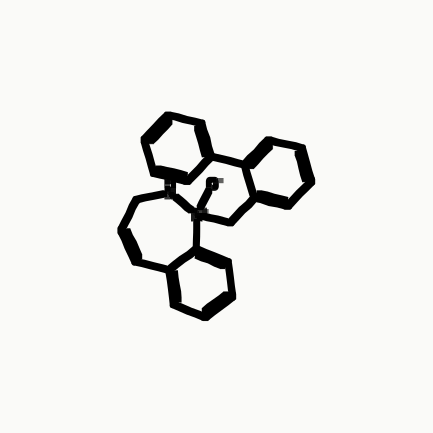 [O-][N+]1(Cc2ccccc2-c2ccccc2)NCC=Cc2ccccc21